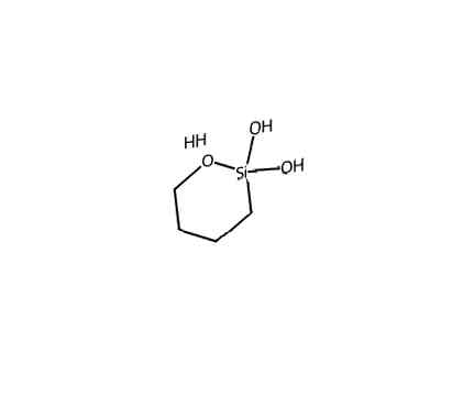 O[Si]1(O)CCCCO1.[HH]